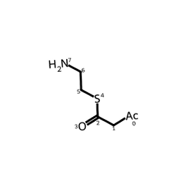 CC(=O)CC(=O)SCCN